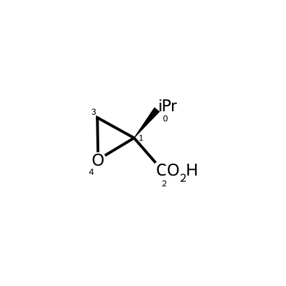 CC(C)[C@]1(C(=O)O)CO1